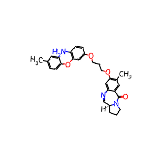 Cc1ccc(Oc2cc(OCCCOc3cc4c(cc3C)C(=O)N3CCC[C@H]3C=N4)ccc2N)cc1